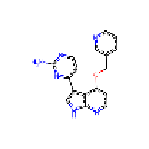 Nc1nccc(-c2c[nH]c3nccc(OCc4cccnc4)c23)n1